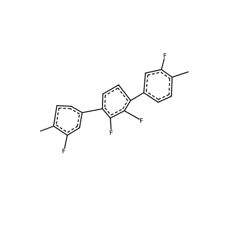 Cc1ccc(-c2ccc(-c3ccc(C)c(F)c3)c(F)c2F)cc1F